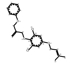 C=C(COc1ccccc1)COc1c(Cl)cc(OCC=C(C)C)cc1Cl